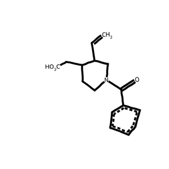 C=CC1CN(C(=O)c2ccccc2)CCC1CC(=O)O